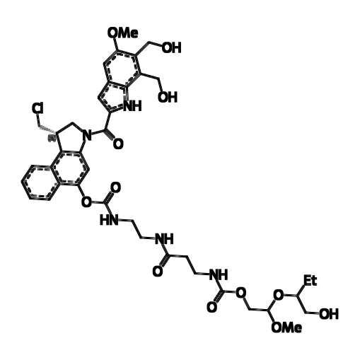 CCC(CO)OC(COC(=O)NCCC(=O)NCCNC(=O)Oc1cc2c(c3ccccc13)[C@H](CCl)CN2C(=O)c1cc2cc(OC)c(CO)c(CO)c2[nH]1)OC